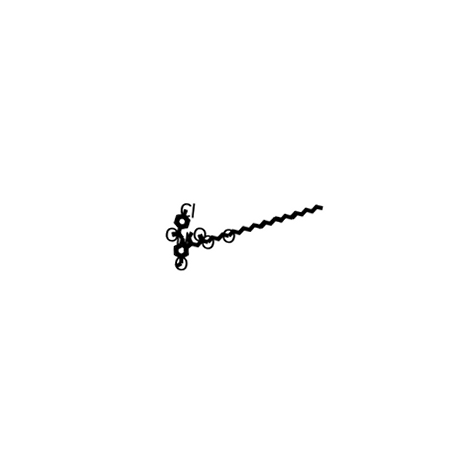 CCCCCC=CCC=CCC=CCCCCCOCCCOC(=O)Cc1c(C)n(C(=O)c2ccc(Cl)cc2)c2ccc(OC)cc12